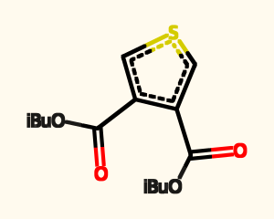 CC(C)COC(=O)c1cscc1C(=O)OCC(C)C